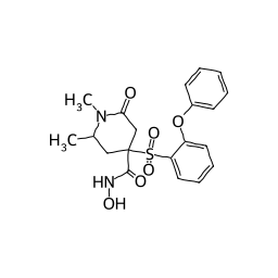 CC1CC(C(=O)NO)(S(=O)(=O)c2ccccc2Oc2ccccc2)CC(=O)N1C